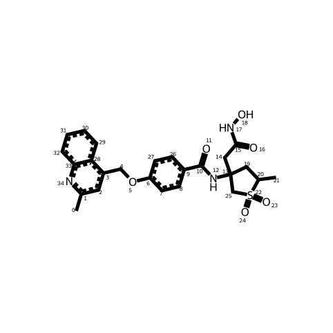 Cc1cc(COc2ccc(C(=O)NC3(CC(=O)NO)CC(C)S(=O)(=O)C3)cc2)c2ccccc2n1